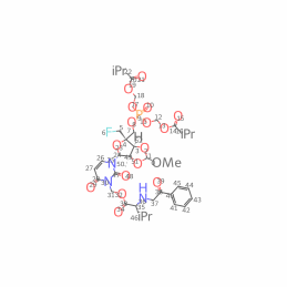 COC1O[C@@H]2[C@@](CF)(COP(=O)(OCOC(=O)C(C)C)OCOC(=O)C(C)C)O[C@@H](n3ccc(=O)n(COC(=O)C(NCC(=O)c4ccccc4)C(C)C)c3=O)[C@]2(C)O1